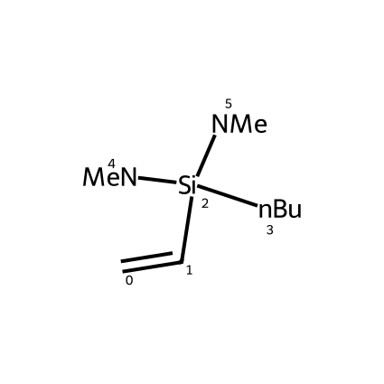 C=C[Si](CCCC)(NC)NC